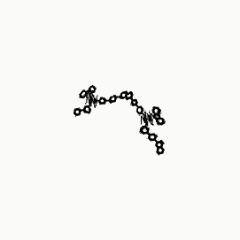 c1ccc(-c2cccc(-c3nc(-c4ccc(-c5ccc(-c6ccc7ccc(-c8ccc(-c9ccc(-c%10nc(-c%11cccc(-c%12ccc(-c%13ccc%14ccccc%14c%13)cc%12)c%11)nc(-n%11c%12ccccc%12c%12ccccc%12%11)n%10)cc9)cc8)cc7c6)cc5)cc4)nc(-n4c5ccccc5c5ccccc54)n3)c2)cc1